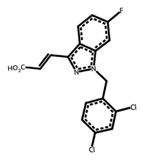 O=C(O)C=Cc1nn(Cc2ccc(Cl)cc2Cl)c2cc(F)ccc12